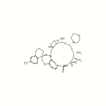 C[C@@H]1[C@@H](C)C[C@@H](N2CCOCC2)C[C@@H](O)[C@@H]2CC[C@H]2CN2C[C@@]3(CCCc4cc(Cl)ccc43)COc3ccc(cc32)C(=O)NS1(=O)=O